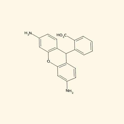 Nc1ccc2c(c1)Oc1cc(N)ccc1C2c1ccccc1C(=O)O